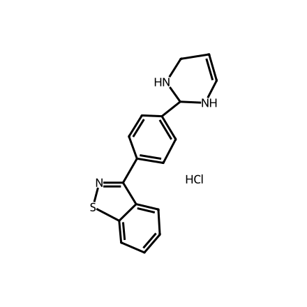 C1=CNC(c2ccc(-c3nsc4ccccc34)cc2)NC1.Cl